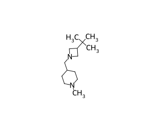 CN1CCC(CN2CC(C(C)(C)C)C2)CC1